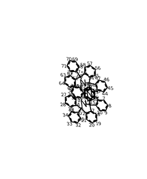 [C-]#[N+]c1c(N2C(c3ccccc3)(c3ccccc3)c3ccccc3C2(c2ccccc2)c2ccccc2)cccc1N1C(c2ccccc2)(c2ccccc2)c2ccccc2C1(c1ccccc1)c1ccccc1